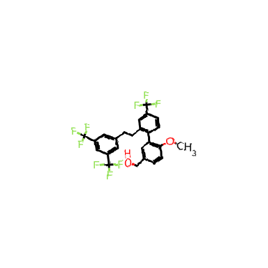 COc1ccc(CO)cc1-c1ccc(C(F)(F)F)cc1CCc1cc(C(F)(F)F)cc(C(F)(F)F)c1